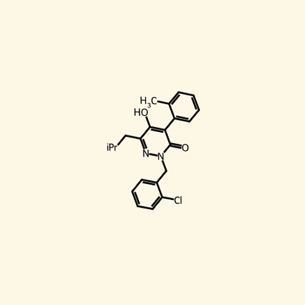 Cc1ccccc1-c1c(O)c(CC(C)C)nn(Cc2ccccc2Cl)c1=O